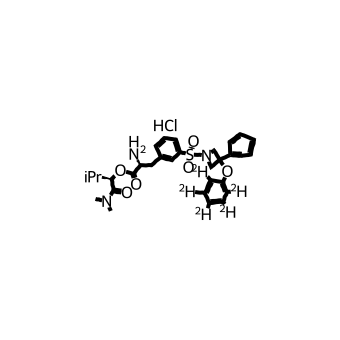 Cl.[2H]c1c([2H])c([2H])c(OC2(c3ccccc3)CN(S(=O)(=O)c3cccc(C[C@H](N)C(=O)O[C@@H](C(=O)N(C)C)C(C)C)c3)C2)c([2H])c1[2H]